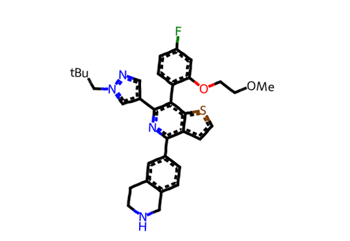 COCCOc1cc(F)ccc1-c1c(-c2cnn(CC(C)(C)C)c2)nc(-c2ccc3c(c2)CCNC3)c2ccsc12